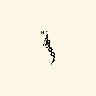 CCCCOc1ccc2cc(C3CCC(C4CCC(CCCC)CC4)CC3)oc(=O)c2c1F